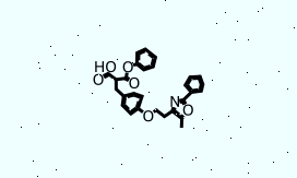 Cc1oc(-c2ccccc2)nc1CCOc1ccc(CC(C(=O)O)C(=O)Oc2ccccc2)cc1